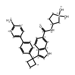 Nc1ncc(-c2ccc(C3(c4c[nH]c5cc(C(=O)NC6CCS(O)(O)C6)ccc45)CCC3)cc2)cn1